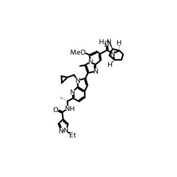 CCn1cc(C(=O)N[C@H](C)c2ccc3cc(-c4nc5cc(C(=O)N6[C@H]7CC[C@@H]6[C@H](N)C7)cc(OC)n5c4C)n(CC4CC4)c3n2)cn1